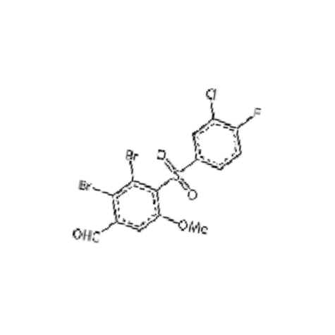 COc1cc(C=O)c(Br)c(Br)c1S(=O)(=O)c1ccc(F)c(Cl)c1